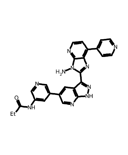 CCC(=O)Nc1cncc(-c2cnc3[nH]nc(-c4nc5c(-c6ccncc6)ccnc5n4N)c3c2)c1